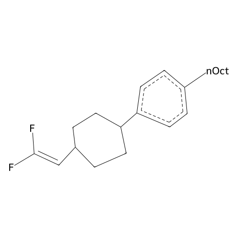 CCCCCCCCc1ccc(C2CCC(C=C(F)F)CC2)cc1